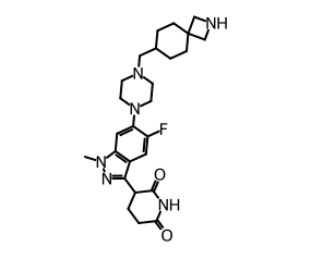 Cn1nc(C2CCC(=O)NC2=O)c2cc(F)c(N3CCN(CC4CCC5(CC4)CNC5)CC3)cc21